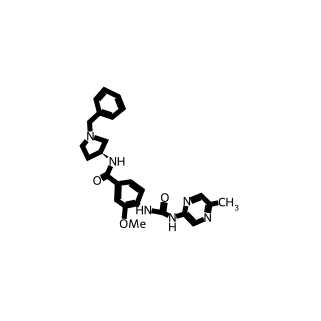 COc1cc(C(=O)N[C@@H]2CCN(Cc3ccccc3)C2)ccc1NC(=O)Nc1cnc(C)cn1